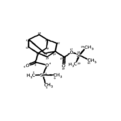 C[Si](C)(C)OC(=O)C12CC3CC(C1)CC(C(=O)O[Si](C)(C)C)(C3)C2